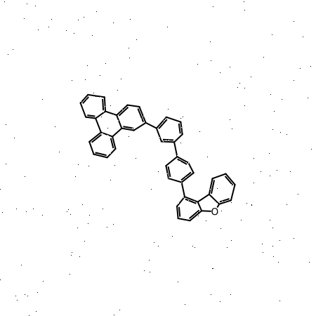 c1cc(-c2ccc(-c3cccc4oc5ccccc5c34)cc2)cc(-c2ccc3c4ccccc4c4ccccc4c3c2)c1